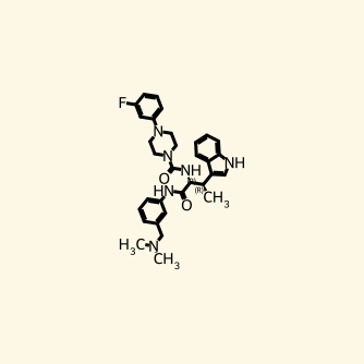 C[C@H](c1c[nH]c2ccccc12)[C@@H](NC(=O)N1CCN(c2cccc(F)c2)CC1)C(=O)Nc1cccc(CN(C)C)c1